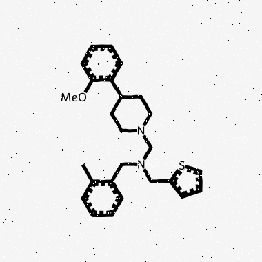 COc1ccccc1C1CCN(CN(Cc2cccs2)Cc2ccccc2C)CC1